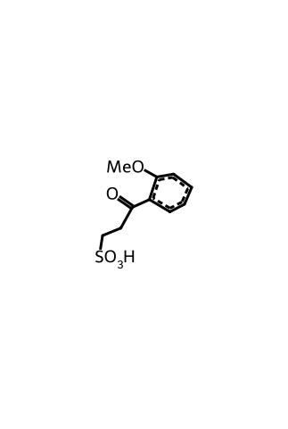 COc1ccccc1C(=O)CCS(=O)(=O)O